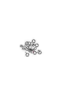 CC[C@H](C)[C@@H](C(=O)N[C@@H](Cc1ccccc1)[C@H](O)CN(Cc1ccc(-c2ccccn2)cc1)NC(=O)COc1ccccc1C)N1CCN(Cc2ccnc3ccccc23)C1=O